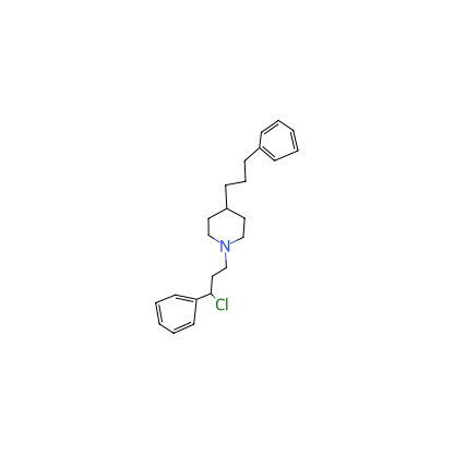 ClC(CCN1CCC(CCCc2ccccc2)CC1)c1ccccc1